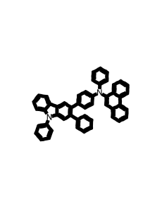 c1ccc(-c2cc3c(cc2-c2ccc(N(c4ccccc4)c4cc5ccccc5c5ccccc45)cc2)c2ccccc2n3-c2ccccc2)cc1